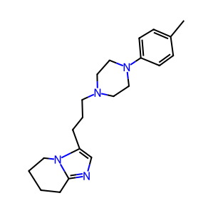 Cc1ccc(N2CCN(CCCc3cnc4n3CCCC4)CC2)cc1